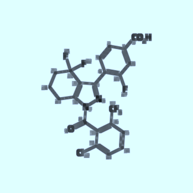 O=C(O)c1ccc(-c2nn(C(=O)c3c(Cl)cccc3C(F)(F)F)c3c2C(F)(F)CCC3)c(F)c1